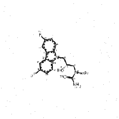 CCCN(C[C@H](O)Cn1c2ccc(F)cc2c2cc(F)ccc21)C(N)=O